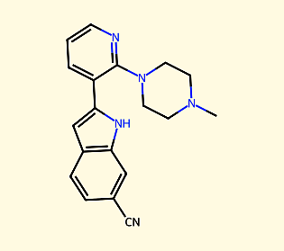 CN1CCN(c2ncccc2-c2cc3ccc(C#N)cc3[nH]2)CC1